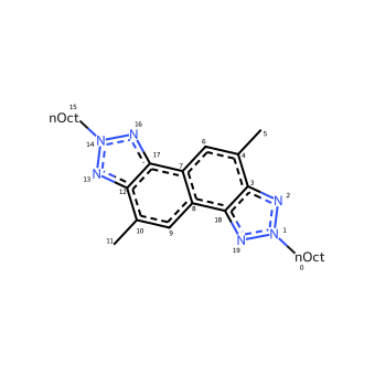 CCCCCCCCn1nc2c(C)cc3c(cc(C)c4nn(CCCCCCCC)nc43)c2n1